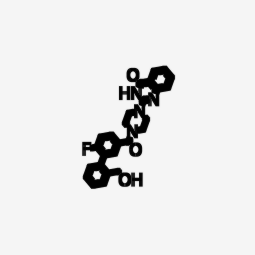 O=C(c1ccc(F)c(-c2ccccc2CO)c1)N1CCN(c2nc3ccccc3c(=O)[nH]2)CC1